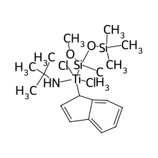 CO[Si](C)(O[Si](C)(C)C)[Ti]([Cl])([Cl])([NH]C(C)(C)C)[CH]1C=Cc2ccccc21